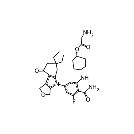 CCC1(CC)CC(=O)c2c3c(n(-c4cc(F)c(C(N)=O)c(N[C@H]5CC[C@H](OC(=O)CN)CC5)c4)c2C1)COC3